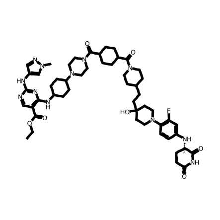 CCOC(=O)c1cnc(Nc2cnn(C)c2)nc1NC1CCC(N2CCN(C(=O)C3CCC(C(=O)N4CCC(CCC5(O)CCN(c6ccc(N[C@H]7CCC(=O)NC7=O)cc6F)CC5)CC4)CC3)CC2)CC1